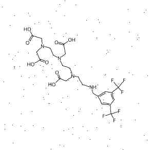 O=C(O)CN(CCNCc1cc(C(F)(F)F)cc(C(F)(F)F)c1)CCN(CCN(CC(=O)O)CC(=O)O)CC(=O)O